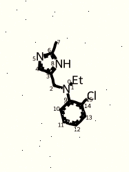 CCN(Cc1cnc(C)[nH]1)c1ccccc1Cl